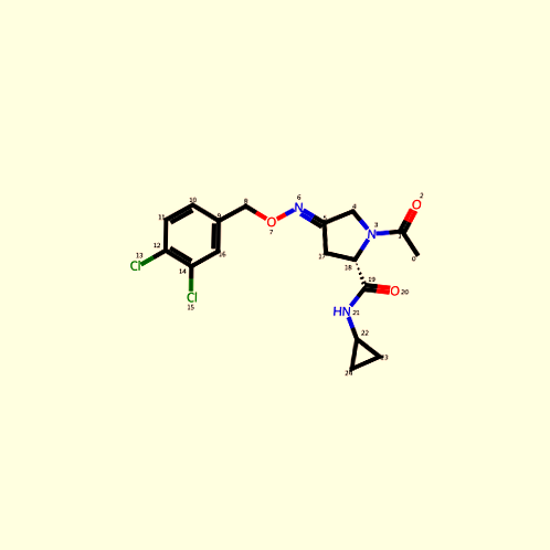 CC(=O)N1CC(=NOCc2ccc(Cl)c(Cl)c2)C[C@H]1C(=O)NC1CC1